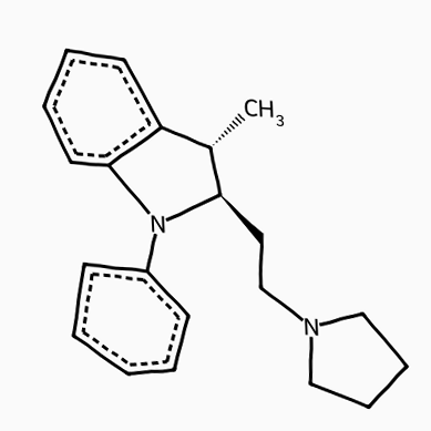 C[C@H]1c2ccccc2N(c2ccccc2)[C@@H]1CCN1CCCC1